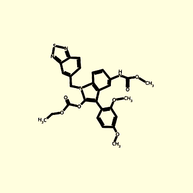 CCOC(=O)Oc1c(-c2ccc(OC)cc2OC)c2cc(NC(=O)OC)ccc2n1Cc1ccc2nsnc2c1